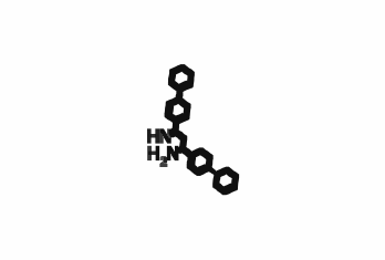 N=C(CC(N)C1=CC=C([C@@H]2CC=CCC2)CC1)C1=CCC(C2=CCCCC2)C=C1